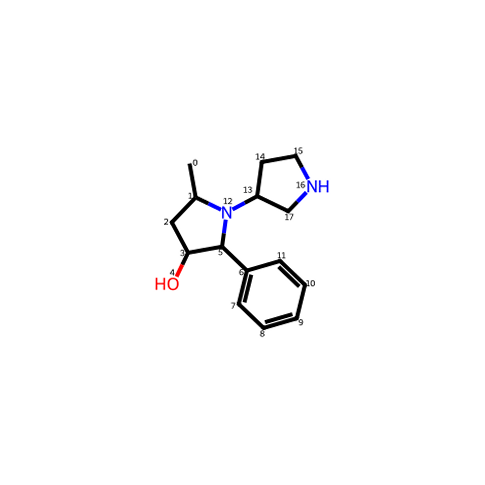 CC1CC(O)C(c2ccccc2)N1C1CCNC1